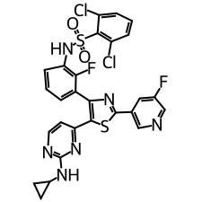 O=S(=O)(Nc1cccc(-c2nc(-c3cncc(F)c3)sc2-c2ccnc(NC3CC3)n2)c1F)c1c(Cl)cccc1Cl